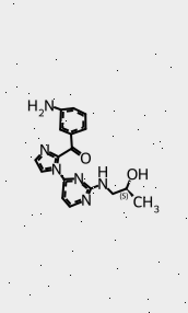 C[C@H](O)CNc1nccc(-n2ccnc2C(=O)c2cccc(N)c2)n1